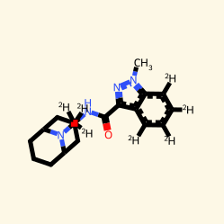 [2H]c1c([2H])c([2H])c2c(c(C(=O)NC3CC4CCCC(C3)N4C([2H])([2H])[2H])nn2C)c1[2H]